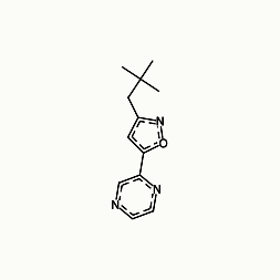 CC(C)(C)Cc1cc(-c2cnccn2)on1